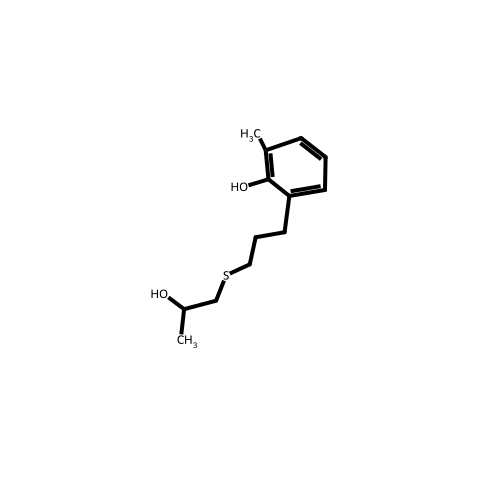 Cc1cccc(CCCSCC(C)O)c1O